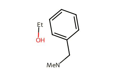 CCO.CNCc1ccccc1